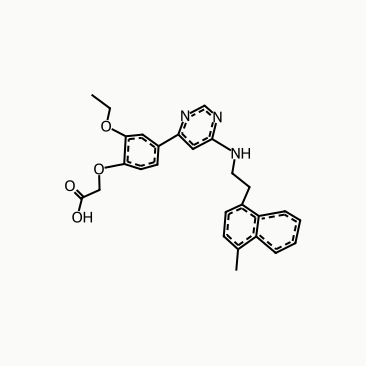 CCOc1cc(-c2cc(NCCc3ccc(C)c4ccccc34)ncn2)ccc1OCC(=O)O